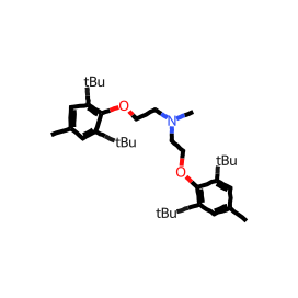 Cc1cc(C(C)(C)C)c(OCCN(C)CCOc2c(C(C)(C)C)cc(C)cc2C(C)(C)C)c(C(C)(C)C)c1